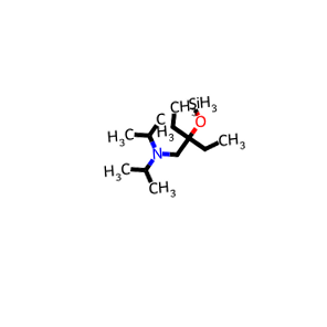 CCC(CC)(CN(C(C)C)C(C)C)O[SiH3]